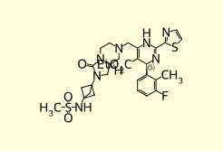 CCOC(=O)C1=C(CN2CCN3C(=O)N(C45CC(NS(C)(=O)=O)(C4)C5)C[C@@H]3C2)NC(c2nccs2)=N[C@H]1c1cccc(F)c1C